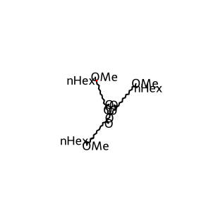 CCCCCCC(C/C=C/CCCCCCCC(=O)COC(COCC(=O)CCCCCCCCCCC(CCCCCC)OC)COCC(=O)CCCCCCCCCCC(CCCCCC)OC)OC